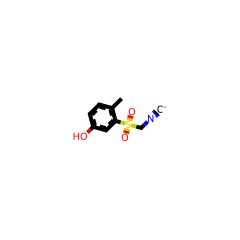 [C-]#[N+]CS(=O)(=O)c1cc(O)ccc1C